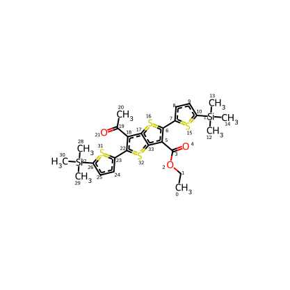 CCOC(=O)c1c(-c2ccc([Si](C)(C)C)s2)sc2c(C(C)=O)c(-c3ccc([Si](C)(C)C)s3)sc12